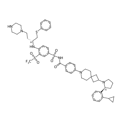 O=C(NS(=O)(=O)c1ccc(N[C@H](CCN2CCNCC2)CSc2ccccc2)c(S(=O)(=O)C(F)(F)F)c1)c1ccc(N2CCC3(CC2)CC(N2CCC[C@H]2c2ccccc2C2CC2)C3)cc1